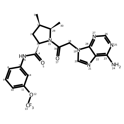 C[C@@H]1C[C@@H](C(=O)Nc2cccc(OC(F)(F)F)c2)N(C(=O)Cn2cnc3c(N)ncnc32)[C@@H]1C